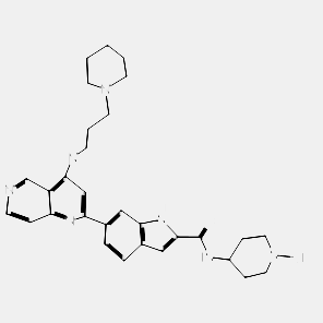 CN1CCC(NC(=O)c2cc3ccc(-c4cc(NCCCN5CCCCC5)c5cnccc5n4)cc3[nH]2)CC1